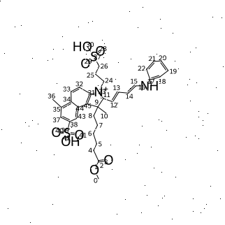 COC(=O)CCCCCC1(C)C(/C=C/C=C/Nc2ccccc2)=[N+](CCCS(=O)(=O)O)c2ccc3c(C)cc(S(=O)(=O)O)cc3c21